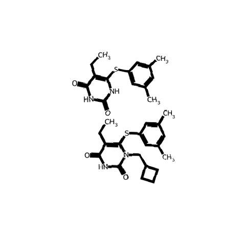 CCc1c(Sc2cc(C)cc(C)c2)[nH]c(=O)[nH]c1=O.CCc1c(Sc2cc(C)cc(C)c2)n(CC2CCC2)c(=O)[nH]c1=O